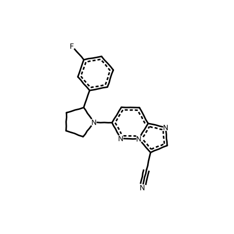 N#Cc1cnc2ccc(N3CCCC3c3cccc(F)c3)nn12